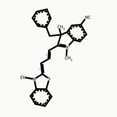 [C-]#[N+]c1ccc2c(c1)C(C)(Cc1ccccc1)C(/C=C/C=C1\Sc3ccccc3N1CC)=[N+]2C